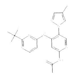 CC(=O)Nc1cc(Nc2ccnc(C(C)(F)F)n2)c(-n2cc(C)cn2)cn1